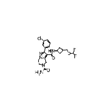 NC(=O)N1CCn2nc(-c3cccc(Cl)c3)c(C(=O)NC3CC(COC(F)F)C3)c2C1